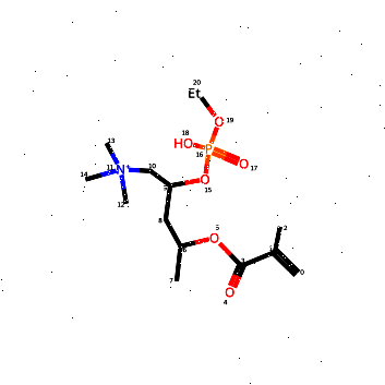 C=C(C)C(=O)OC(C)CC(C[N+](C)(C)C)OP(=O)(O)OCC